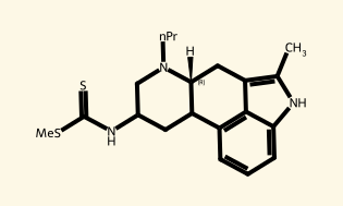 CCCN1CC(NC(=S)SC)CC2c3cccc4[nH]c(C)c(c34)C[C@H]21